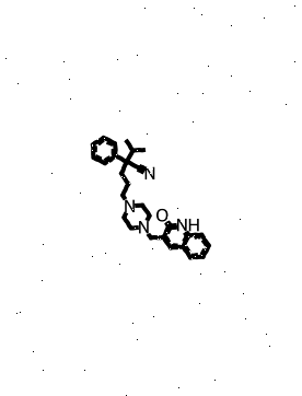 CC(C)C(C#N)(CCCN1CCN(Cc2cc3ccccc3[nH]c2=O)CC1)c1ccccc1